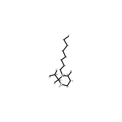 CCCCCCCCN1C(C)CCOC1(C)C(C)C